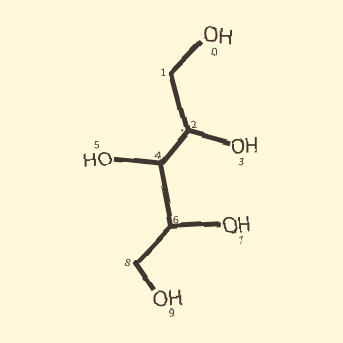 OC[C](O)C(O)C(O)CO